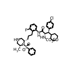 CCOC(=O)N[C@H](C(=O)Nc1cccc(F)c1CCC[C@H]1CNC[C@@H](C)N1S(=O)(=O)c1ccccc1)[C@@H](c1ccc(Cl)cc1)C1CCOCC1